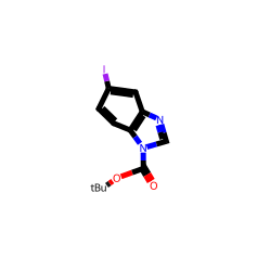 CC(C)(C)OC(=O)n1cnc2cc(I)ccc21